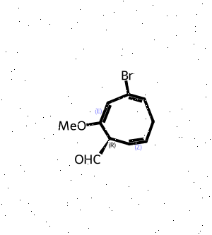 CO/C1=C/C(Br)=CC/C=C\[C@H]1C=O